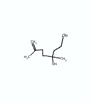 C=C(C)CCC(C)(O)CCO